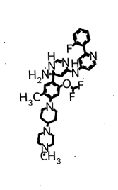 Cc1cc(C2(N)C=C(Nc3ccnc(-c4ccccc4F)c3)N=CN2)c(OC(F)F)cc1N1CCC(N2CCN(C)CC2)CC1